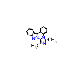 Cc1nc(C)n2c3ccccc3c3c4ccccc4nn3c12